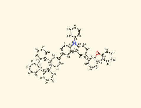 c1ccc(-n2c3ccc(-c4ccc5c(c4)-c4ccccc4-c4ccccc4-c4ccccc4-5)cc3c3cc(-c4cccc5c4oc4ccccc45)ccc32)cc1